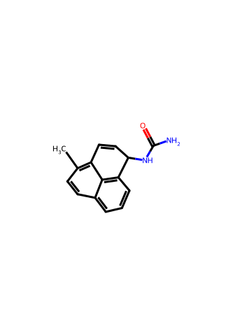 Cc1ccc2cccc3c2c1C=CC3NC(N)=O